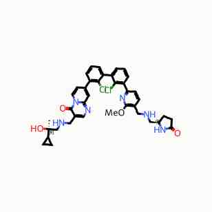 COc1nc(-c2cccc(-c3cccc(-c4ccn5c(=O)c(CNC[C@](C)(O)C6CC6)cnc5c4)c3Cl)c2Cl)ccc1CNC[C@H]1CCC(=O)N1